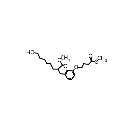 COC(=O)CCCOc1cccc(CC(CCCCCCO)C(=O)OC)c1